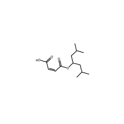 CC(C)CC(CC(C)C)OC(=O)/C=C\C(=O)O